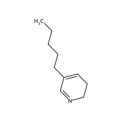 CCCCCC1=CCCN=C1